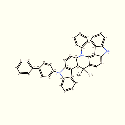 CC1(C)c2ccc3[nH]c4ccccc4c3c2N(c2ccccc2)C2C=Cc3c(c4ccccc4n3-c3ccc(-c4ccccc4)cc3)C21